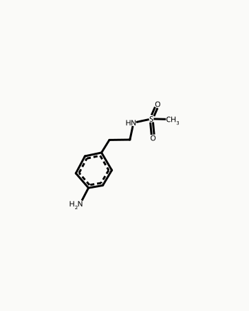 CS(=O)(=O)NCCc1ccc(N)cc1